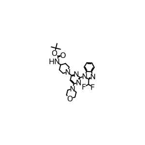 CC(C)(C)OC(=O)NC1CCN(c2cc(N3CCOCC3)nc(-n3c(C(F)F)nc4ccccc43)n2)CC1